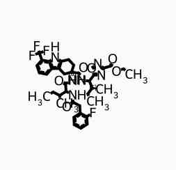 CCOC(=O)c1noc(C(NC(=O)[C@]2(NC(=O)C(NC(=O)Cc3ccccc3F)C(C)CC)CCc3[nH]c4c(C(F)(F)F)cccc4c3C2)[C@@H](C)CC)n1